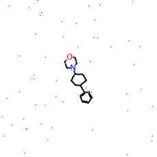 [c]1ccccc1C1CCC(N2CCOCC2)CC1